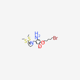 CCSC(SCC)[C@@H]1CCCN1Cc1cc(OC)c(OCCCCCBr)cc1N